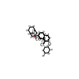 C[C@H]1CC[C@@H](Oc2ccc3ccc(CN4C5CCCC4CC(C(=O)O)C5)cc3c2Cl)CC1